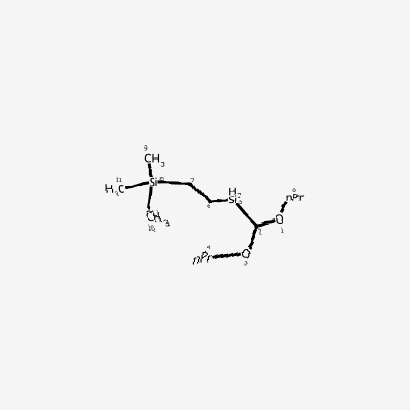 CCCOC(OCCC)[SiH2]CC[Si](C)(C)C